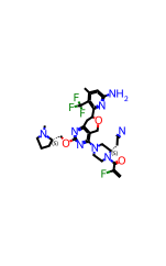 C=C(F)C(=O)N1CCN(c2nc(OC[C@@H]3CCCN3C)nc3c2COC(c2nc(N)cc(C)c2C(F)(F)F)C3)C[C@@H]1CC#N